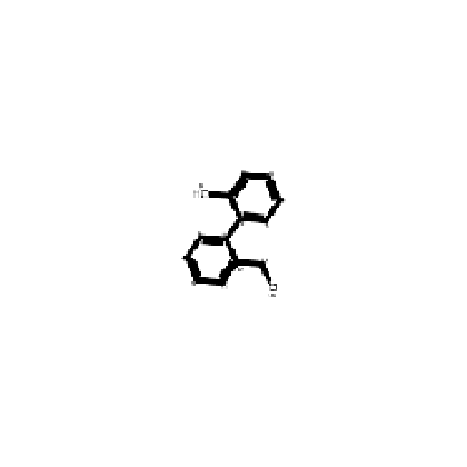 Oc1ccccc1-c1ccccc1CCl